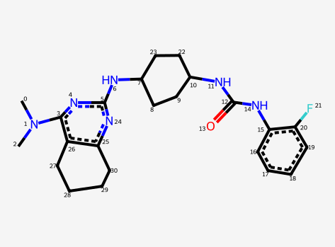 CN(C)c1nc(NC2CCC(NC(=O)Nc3ccccc3F)CC2)nc2c1CCCC2